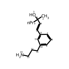 CCCC(C)(O)C=Cc1cccc(CCCN)c1